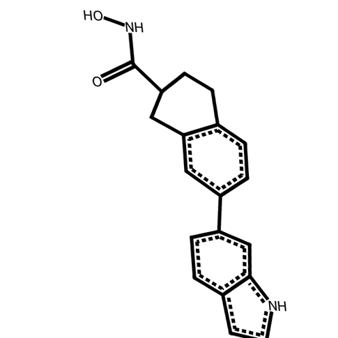 O=C(NO)C1CCc2ccc(-c3ccc4cc[nH]c4c3)cc2C1